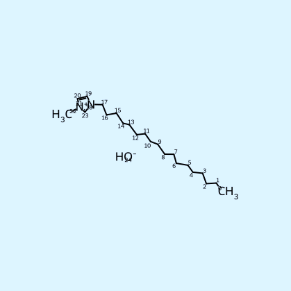 CCCCCCCCCCCCCCCCCCn1cc[n+](C)c1.[OH-]